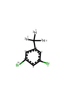 [2H]C([2H])([2H])c1cc(Br)cc(Br)c1